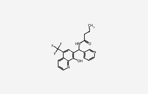 CCCC(=O)NC(c1cccnc1)c1cc(C(F)(F)F)c2cccnc2c1O